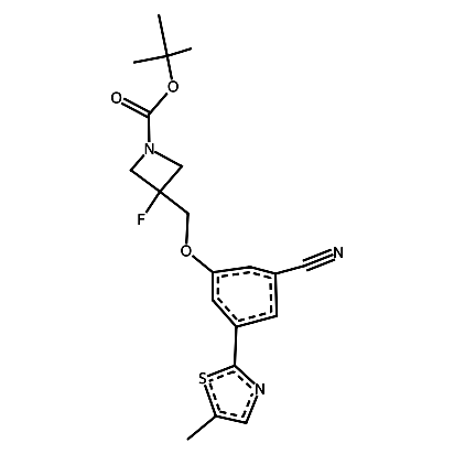 Cc1cnc(-c2cc(C#N)cc(OCC3(F)CN(C(=O)OC(C)(C)C)C3)c2)s1